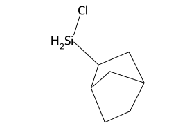 Cl[SiH2]C1CC2CCC1C2